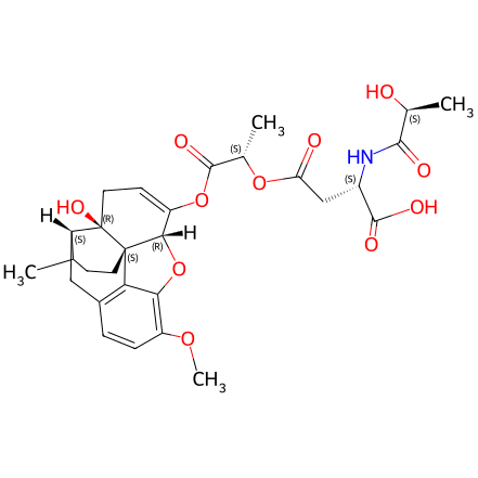 COc1ccc2c3c1O[C@H]1C(OC(=O)[C@H](C)OC(=O)C[C@H](NC(=O)[C@H](C)O)C(=O)O)=CC[C@@]4(O)[C@@H](C2)C(C)CC[C@]314